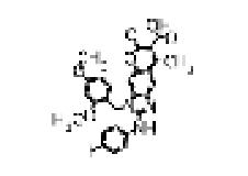 COc1ccc(Cn2c(Nc3ccc(I)cc3)nc3cc4c(C)c(C(=O)O)c(=O)oc4cc32)c(OC)c1